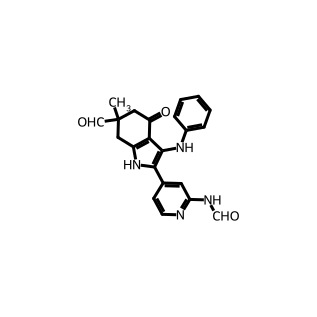 CC1(C=O)CC(=O)c2c([nH]c(-c3ccnc(NC=O)c3)c2Nc2ccccc2)C1